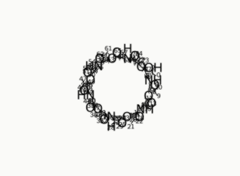 CC(C)[C@@H]1NC(=O)[C@H](C(C)C)OC(=O)[C@@H](C)NC(=O)[C@@H](C(C)C)OC(=O)[C@H](C(C)C)NC(=O)[C@H](C(C)C)OC(=O)[C@@H](C)NC(=O)[C@@H](C(C)C)OC(=O)[C@H](C(C)C)NC(=O)[C@H](C(C)C)OC(=O)[C@@H](C)NC(=O)[C@@H](C(C)C)OC1O